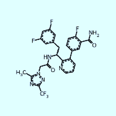 Cc1nc(C(F)(F)F)nn1CC(=O)NC(Cc1cc(F)cc(F)c1)c1ncccc1-c1ccc(F)c(C(N)=O)c1